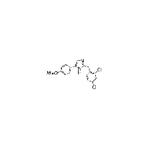 COc1ccc(-c2cnc(Cc3ccc(Cl)cc3Cl)[nH]2)cc1